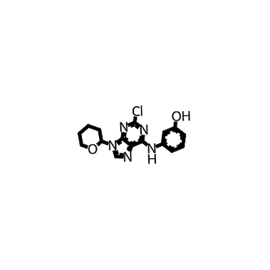 Oc1cccc(Nc2nc(Cl)nc3c2ncn3C2CCCCO2)c1